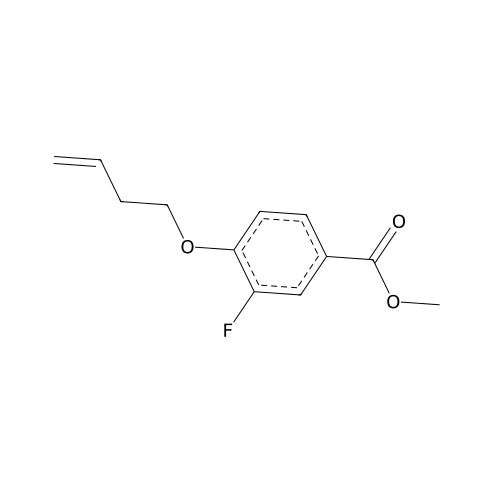 C=CCCOc1ccc(C(=O)OC)cc1F